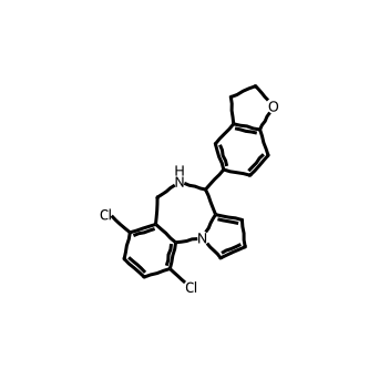 Clc1ccc(Cl)c2c1CNC(c1ccc3c(c1)CCO3)c1cccn1-2